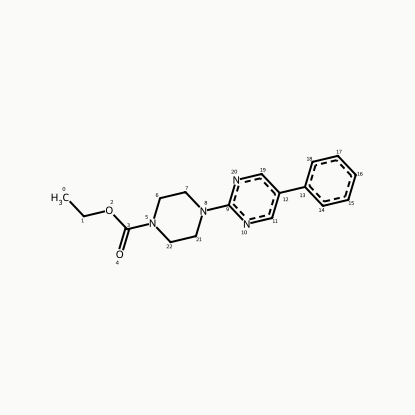 CCOC(=O)N1CCN(c2ncc(-c3ccccc3)cn2)CC1